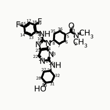 CN(C)C(=O)[C@H]1CC[C@@H](n2c(Nc3ccc(F)cc3F)nc3cnc(N[C@H]4CC[C@H](O)CC4)nc32)CC1